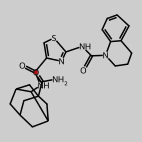 NC(=O)C12CC3CC(C1)C(NC(=O)c1csc(NC(=O)N4CCCc5ccccc54)n1)C(C3)C2